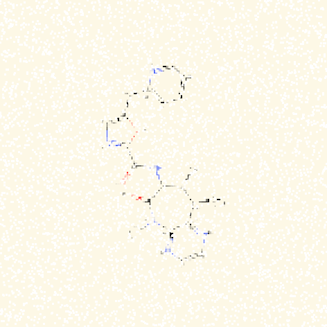 C[C@@H]1[C@H](NC(=O)c2ncc(Cc3ccccn3)o2)C(=O)N(C)c2nccnc2[C@@H]1C